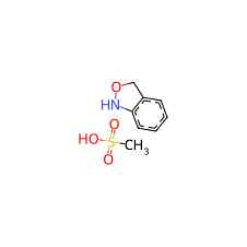 CS(=O)(=O)O.c1ccc2c(c1)CON2